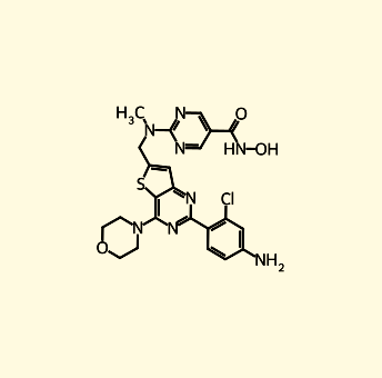 CN(Cc1cc2nc(-c3ccc(N)cc3Cl)nc(N3CCOCC3)c2s1)c1ncc(C(=O)NO)cn1